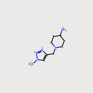 Cn1cc(CN2CCC(N)CC2)nn1